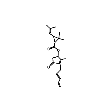 C=C/C=C/CC1=C(C)C(OC(=O)C2C(C=C(C)C)C2(C)C)CC1=O